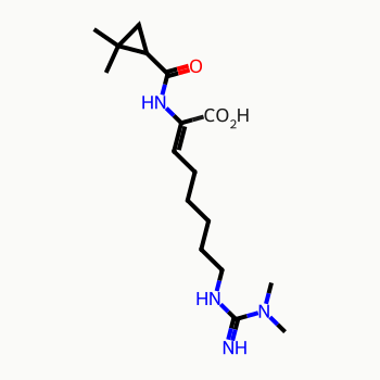 CN(C)C(=N)NCCCCC/C=C(/NC(=O)C1CC1(C)C)C(=O)O